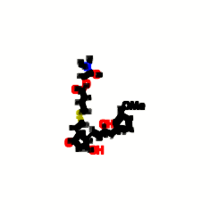 COCc1cccc(C[C@H](O)/C=C/[C@@H]2[C@H](O)CC(=O)[C@@H]2CCSCCCC(=O)OCC(=O)N(C)C)c1